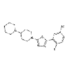 CC(=O)c1ccc(F)c(-c2nnc(N3CCC(N4CCCCC4)CC3)s2)c1